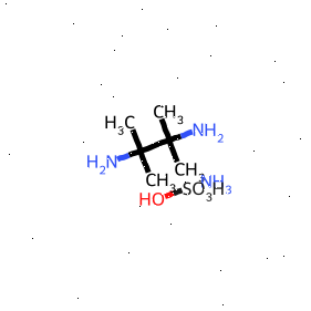 CC(C)(N)C(C)(C)N.N.O=S(=O)(O)O